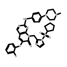 CN1CCN(c2ccc(Nc3ncc4cc(Oc5ccccc5F)c(=O)n(Cc5nccn5S(=O)(=O)C5CCCC5)c4n3)cc2)CC1